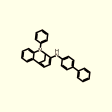 C1=C2CC(C(Nc3ccc(-c4ccccc4)cc3)=C1)N(c1ccccc1)c1ccccc12